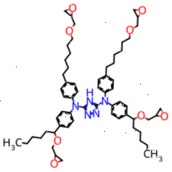 CCCCCC(OCC1CO1)c1ccc(N(c2ccc(CCCCCCOCC3CO3)cc2)c2nnc(N(c3ccc(CCCCCCOCC4CO4)cc3)c3ccc(C(CCCCC)OCC4CO4)cc3)[nH]2)cc1